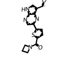 O=[C]c1c[nH]c2ncc(-c3ccc(C(=O)N4CCC4)s3)nc12